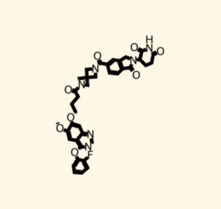 COc1cc2c(Oc3ccccc3F)ncnc2cc1OCCCC(=O)N1CC2(C1)CN(C(=O)c1ccc3c(c1)CN(C1CCC(=O)NC1=O)C3=O)C2